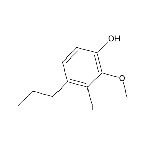 CCCc1ccc(O)c(OC)c1I